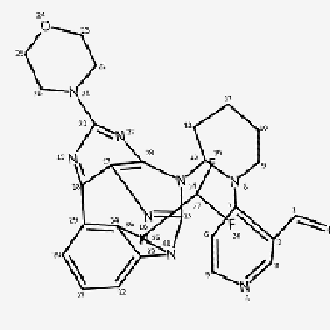 O=Cc1cnccc1N1CCCCC1n1c2nc3c(nc(N4CCOCC4)nc31)-c1cccc3c1nc(C(F)F)n3-2